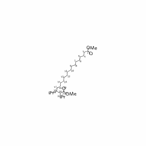 COC(=O)CCCCCCCCCCCCCCCC(C(C)C)C(C(=O)OC)C(C)C